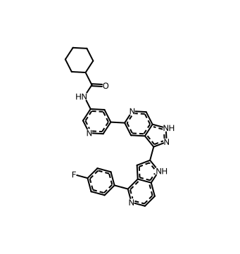 O=C(Nc1cncc(-c2cc3c(-c4cc5c(-c6ccc(F)cc6)nccc5[nH]4)n[nH]c3cn2)c1)C1CCCCC1